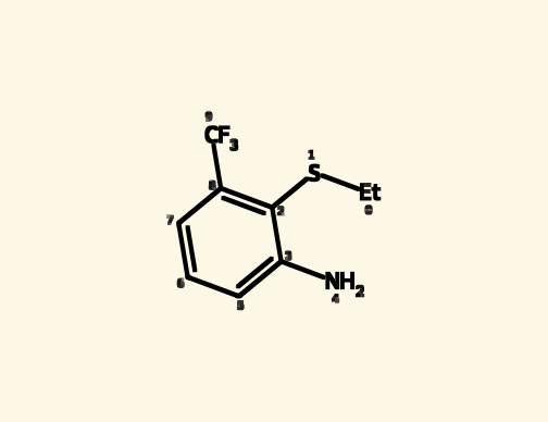 CCSc1c(N)cccc1C(F)(F)F